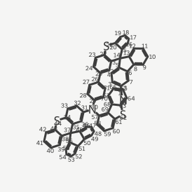 N#Cc1ccc2c(c1)-c1ccccc1C21c2ccccc2Sc2ccc(-c3ccc(N(c4ccc5c(c4)C4(c6ccccc6S5)c5ccccc5-c5ccccc54)c4cccc5sc6ccccc6c45)cc3)cc21